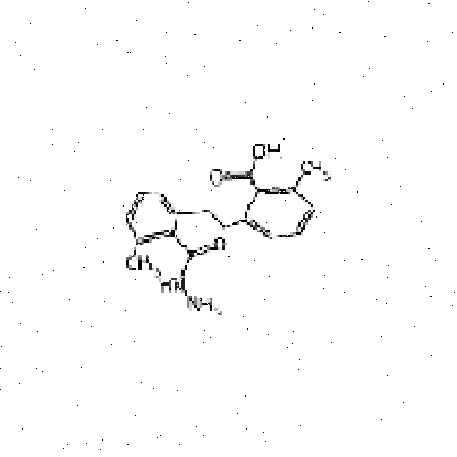 Cc1cccc(CCc2cccc(C)c2C(=O)NN)c1C(=O)O